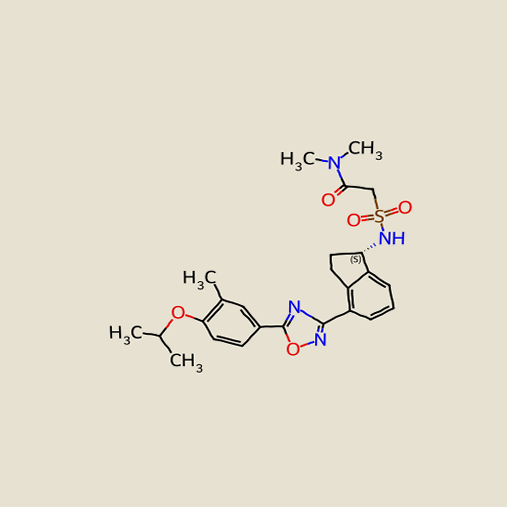 Cc1cc(-c2nc(-c3cccc4c3CC[C@@H]4NS(=O)(=O)CC(=O)N(C)C)no2)ccc1OC(C)C